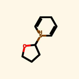 C1=C[SH](C2CCCO2)C=CC1